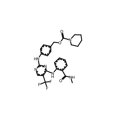 CNC(=O)c1ccccc1Nc1nc(Nc2ccc(COC(=O)N3CCCCC3)cc2)ncc1C(F)(F)F